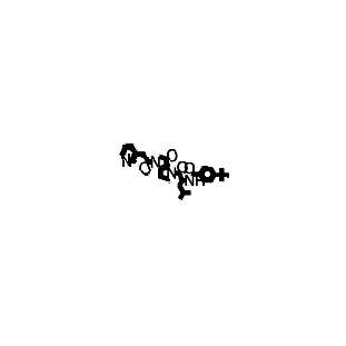 CC(C)CC(NC(=O)c1ccc(C(C)(C)C)cc1)C(=O)N1CCC2C1C(=O)CN2C(=O)Cc1cccnc1